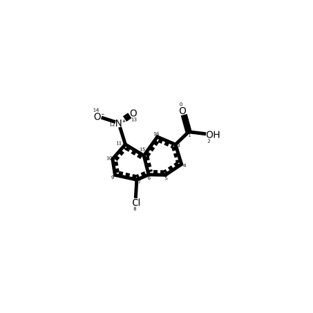 O=C(O)c1ccc2c(Cl)ccc([N+](=O)[O-])c2c1